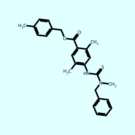 Cc1ccc(COC(=O)c2cc(C)c(NC(=S)N(C)Cc3ccccc3)cc2C)cc1